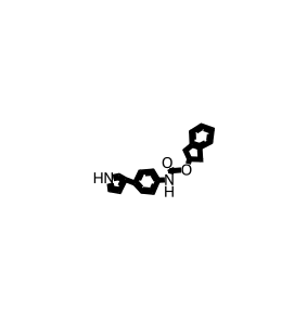 O=C(Nc1ccc(-c2cc[nH]c2)cc1)OC1Cc2ccccc2C1